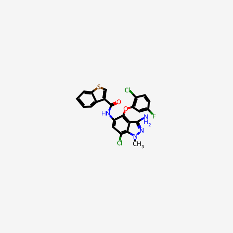 Cn1nc(N)c2c(Oc3cc(F)ccc3Cl)c(NC(=O)c3csc4ccccc34)cc(Cl)c21